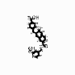 COc1cc(COC(=O)c2ccc3cc(O)c(Cc4ccc(C(=O)O)cc4)cc3c2)ccn1